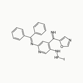 N=C(c1cnco1)c1cc(N=C(c2ccccc2)c2ccccc2)ncc1NPI